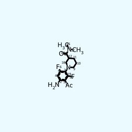 CC(=O)c1c(N)cc(F)c(N2CCCC(C(=O)N(C)C)C2)c1F